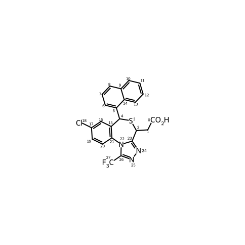 O=C(O)CC1SC(c2cccc3ccccc23)c2cc(Cl)ccc2-n2c1nnc2C(F)(F)F